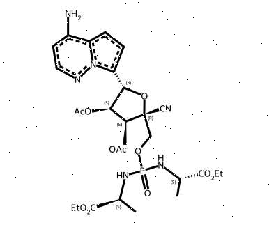 CCOC(=O)[C@H](C)NP(=O)(N[C@@H](C)C(=O)OCC)OC[C@@]1(C#N)O[C@@H](c2ccc3c(N)ccnn23)[C@H](OC(C)=O)[C@@H]1OC(C)=O